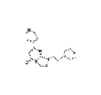 O=c1cc(-c2ccncc2)nc2n(CCc3ccccc3)ccn12